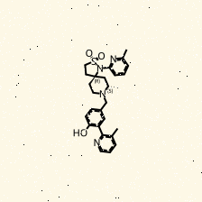 Cc1cccc(N2[C@@]3(CCN(Cc4ccc(O)c(-c5ncccc5C)c4)[C@@H](C)C3)CCS2(=O)=O)n1